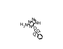 COC(COc1nc(N)nc2nc[nH]c12)(OC)c1ccccc1